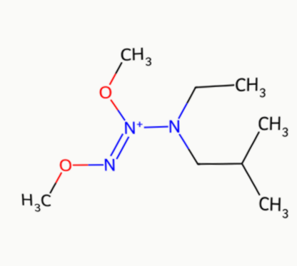 CCN(CC(C)C)/[N+](=N/OC)OC